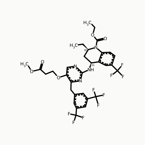 CCOC(=O)N1c2ccc(C(F)(F)F)cc2[C@@H](Nc2ncc(OCCC(=O)OC)c(Cc3cc(C(F)(F)F)cc(C(F)(F)F)c3)n2)C[C@H]1CC